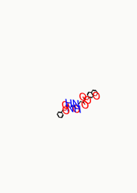 O=C(CNC(=O)OCc1ccccc1)NCCC(=O)C(=O)Oc1ccc2c(c1)OCC=C2